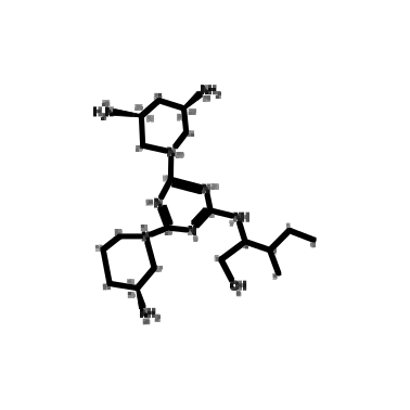 CCC(C)C(CO)Nc1nc(N2CCC[C@H](N)C2)nc(N2C[C@H](N)C[C@H](N)C2)n1